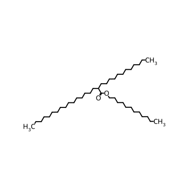 CCCCCCCCCCCCCCCCC(CCCCCCCCCCCC)C(=O)OCCCCCCCCCCCC